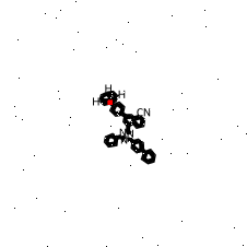 N#Cc1cccc2c(-c3nc(-c4ccccc4)nc(-c4ccc(-c5ccccc5)cc4)n3)cc(-c3ccc(C45C[C@H]6C[C@H](C4)C[C@@H](C5)C6)cc3)cc12